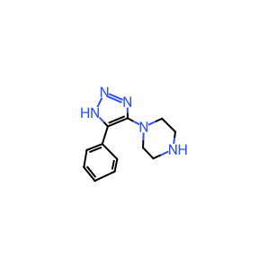 c1ccc(-c2[nH]nnc2N2CCNCC2)cc1